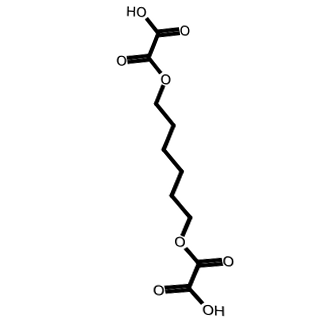 O=C(O)C(=O)OCCCCCCOC(=O)C(=O)O